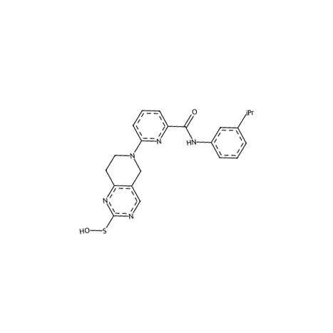 CC(C)c1cccc(NC(=O)c2cccc(N3CCc4nc(SO)ncc4C3)n2)c1